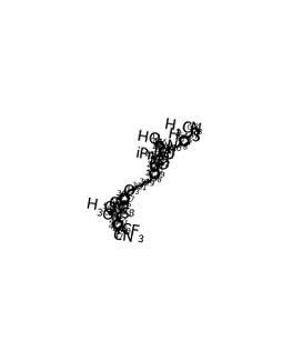 Cc1ncsc1-c1ccc(CNC(=O)[C@@H]2C[C@@H](O)CN2C(=O)[C@H](C(C)C)N2Cc3cc(CCCCCOc4ccc(N5C(=S)N(c6ccc(C#N)c(C(F)(F)F)c6)C(=O)C5(C)C)cc4)ccc3C2=O)cc1